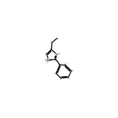 CCc1c[nH]c(-c2ccccc2)n1